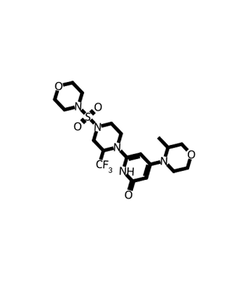 CC1COCCN1c1cc(N2CCN(S(=O)(=O)N3CCOCC3)CC2C(F)(F)F)[nH]c(=O)c1